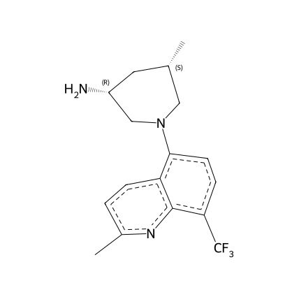 Cc1ccc2c(N3C[C@@H](C)C[C@@H](N)C3)ccc(C(F)(F)F)c2n1